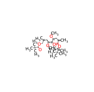 CO[C@@H](C[C@@H](C)COC(=O)C(C)(C)C)[C@@H](O)[C@H](C[C@@H](C)CO[Si](C)(C)C(C)(C)C)OC